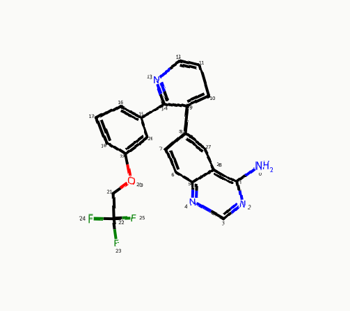 Nc1ncnc2ccc(-c3cccnc3-c3cccc(OCC(F)(F)F)c3)cc12